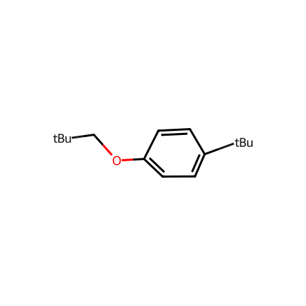 CC(C)(C)COc1ccc(C(C)(C)C)cc1